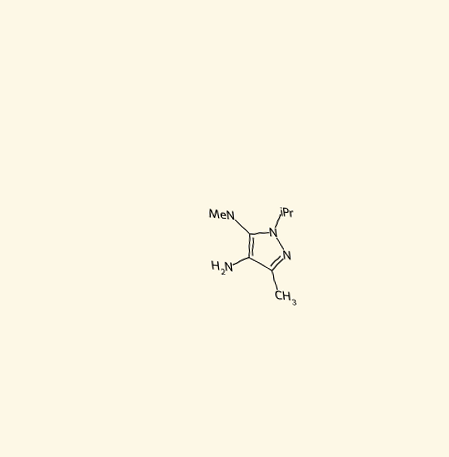 CNc1c(N)c(C)nn1C(C)C